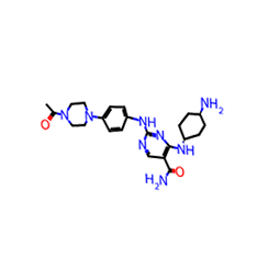 CC(=O)N1CCN(c2ccc(Nc3ncc(C(N)=O)c(N[C@H]4CC[C@H](N)CC4)n3)cc2)CC1